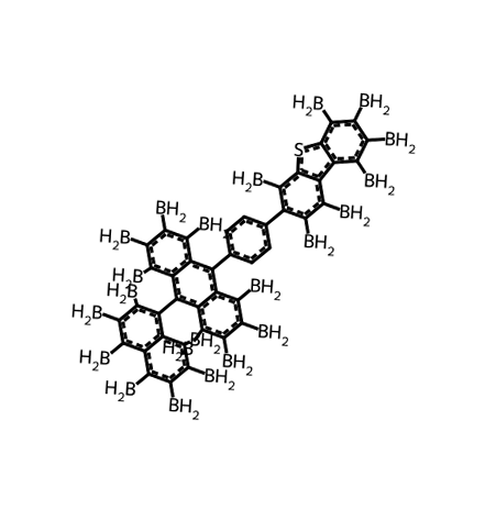 Bc1c(B)c(B)c2c(sc3c(B)c(-c4ccc(-c5c6c(B)c(B)c(B)c(B)c6c(-c6c(B)c(B)c(B)c7c(B)c(B)c(B)c(B)c67)c6c(B)c(B)c(B)c(B)c56)cc4)c(B)c(B)c32)c1B